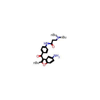 CCCCc1oc2ccc(N)cc2c1C(=O)c1ccc(NC(=O)CCN(CCCC)CCCC)cc1